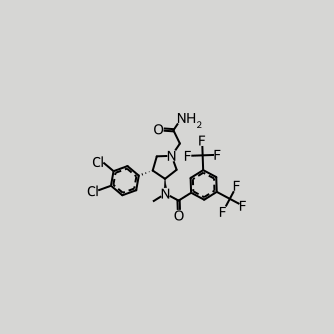 CN(C(=O)c1cc(C(F)(F)F)cc(C(F)(F)F)c1)[C@@H]1CN(CC(N)=O)C[C@H]1c1ccc(Cl)c(Cl)c1